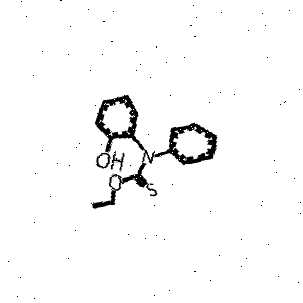 CCOC(=S)N(c1ccccc1)c1ccccc1O